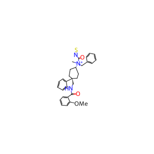 COc1ccccc1C(=O)NC[C@]1(c2ccccc2)CC[C@@H]([N+](C)(Cc2ccccc2)C(=O)N=S)CC1